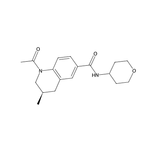 CC(=O)N1C[C@H](C)Cc2cc(C(=O)NC3CCOCC3)ccc21